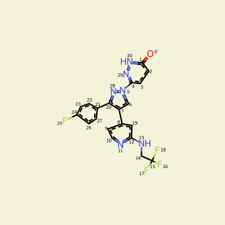 O=c1ccc(-n2cc(-c3ccnc(NCC(F)(F)F)c3)c(-c3ccc(F)cc3)n2)n[nH]1